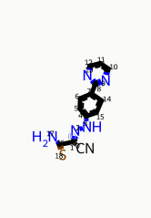 N#C/C(=N\Nc1ccc(-c2ncccn2)cc1)C(N)=S